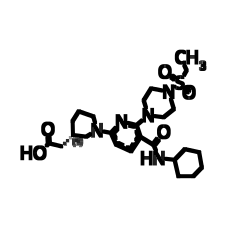 CCS(=O)(=O)N1CCN(c2nc(N3CCC[C@@H](CC(=O)O)C3)ccc2C(=O)NC2CCCCC2)CC1